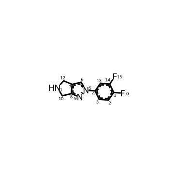 Fc1ccc(-n2cc3c(n2)CNC3)cc1F